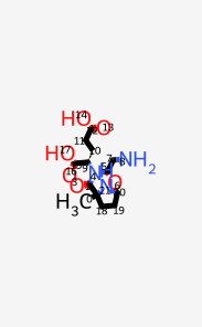 CC1(C(=O)N(C(=O)CN)[C@@H](CCC(=O)O)C(=O)O)CCCN1